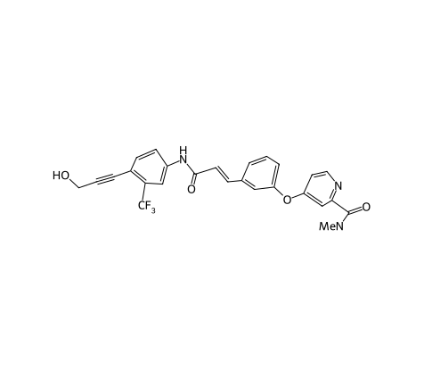 CNC(=O)c1cc(Oc2cccc(C=CC(=O)Nc3ccc(C#CCO)c(C(F)(F)F)c3)c2)ccn1